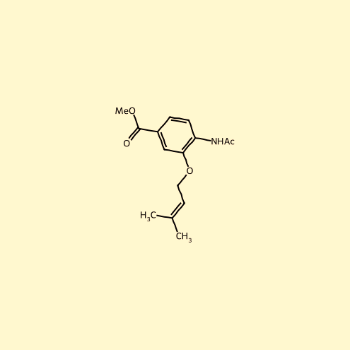 COC(=O)c1ccc(NC(C)=O)c(OCC=C(C)C)c1